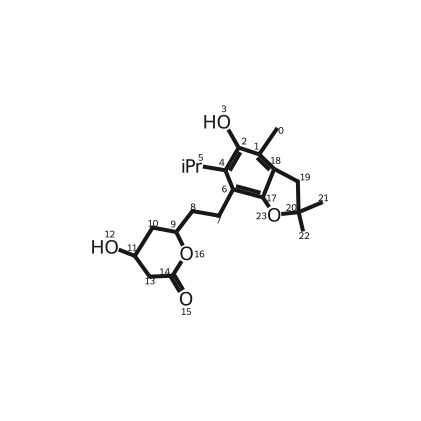 Cc1c(O)c(C(C)C)c(CCC2CC(O)CC(=O)O2)c2c1CC(C)(C)O2